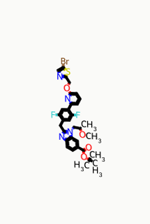 CO[C@H](C)Cn1c(Cc2cc(F)c(-c3cccc(OCc4ncc(Br)s4)n3)cc2F)nc2ccc(C(=O)OC(C)(C)C)cc21